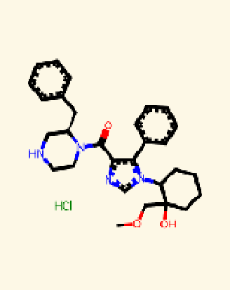 COCC1(O)CCCCC1n1cnc(C(=O)N2CCNC[C@H]2Cc2ccccc2)c1-c1ccccc1.Cl